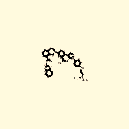 CN(C)CCOc1ccc(-n2cc(-c3ccc(N4CCc5cccc(C(=O)Nc6nc7ccccc7s6)c5C4)nc3C(=O)O)cn2)cc1